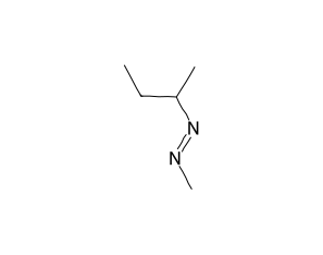 CCC(C)/N=N/C